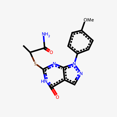 COc1ccc(-n2ncc3c(=O)[nH]c(SC(C)C(N)=O)nc32)cc1